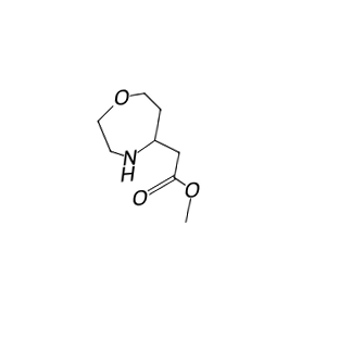 COC(=O)CC1CCOCCN1